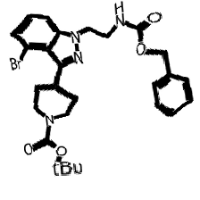 CC(C)(C)OC(=O)N1CCC(c2nn(CCNC(=O)OCc3ccccc3)c3cccc(Br)c23)CC1